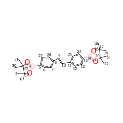 CC1(C)OB(c2ccc(/C=C/c3ccc(B4OC(C)(C)C(C)(C)O4)cc3)cc2)OC1(C)C